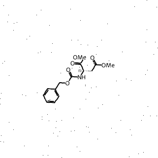 COC(=O)C[C@H](NC(=O)OCc1ccccc1)C(=O)OC